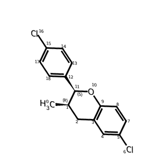 C[C@@H]1Cc2cc(Cl)ccc2O[C@@H]1c1ccc(Cl)cc1